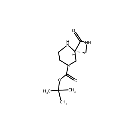 CC(C)(C)OC(=O)N1CCN[C@]2(CNC2=O)C1